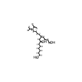 CC(C)N(CCCCC(CCCCO)CC(O)CCCCCCO)C(C)C